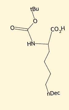 CCCCCCCCCCCCCCC(NC(=O)OC(C)(C)C)C(=O)O